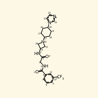 O=C(CNC(=O)c1cccc(C(F)(F)F)c1)NC1CN(C2CCC(n3ccnc3)CC2)C1